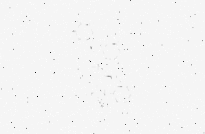 Cc1cc(C)cc(N([C@@H](C)C(=O)Nc2ccccc2Sc2ccccc2)S(C)(=O)=O)c1